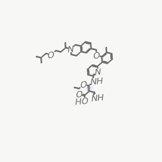 CCO/C(Nc1cccc(-c2cccc(C)c2OCc2ccc3c(c2)CCN(C(C)CCOCC(C)C)C3)n1)=C(/C=N)C(=O)O